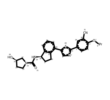 CC(C)Oc1ccc(-c2ncc(-c3cccc4c3CC[C@H]4NC(=O)N3CC[C@@H](O)C3)s2)cc1C#N